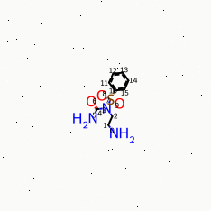 NCCN(C(N)=O)S(=O)(=O)c1ccccc1